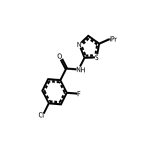 CC(C)c1cnc(NC(=O)c2ccc(Cl)cc2F)s1